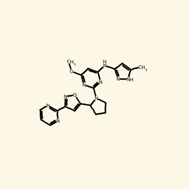 COc1cc(Nc2cc(C)[nH]n2)nc(N2CCCC2c2cc(-c3ncccn3)no2)n1